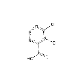 O=C(O)c1ncnc(Cl)c1Cl